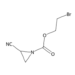 N#CC1CN1C(=O)OCCBr